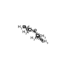 COCCOc1c(C)cc(CCC(=O)CCc2cc(C)c(OCCOC)c(C)c2)cc1C